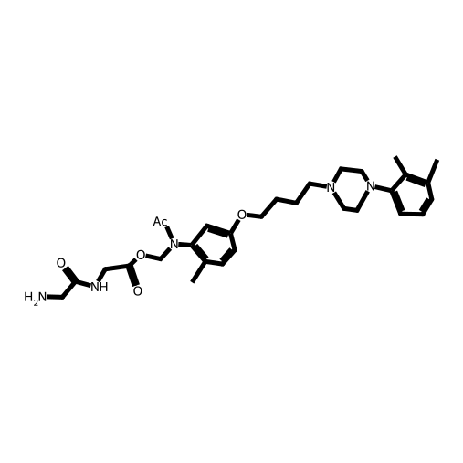 CC(=O)N(COC(=O)CNC(=O)CN)c1cc(OCCCCN2CCN(c3cccc(C)c3C)CC2)ccc1C